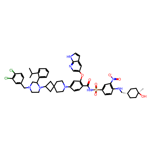 CC(C)c1ccccc1C1CN(Cc2ccc(Cl)c(Cl)c2)CCN1C1CC2(CCN(c3ccc(C(=O)NS(=O)(=O)c4ccc(NC[C@H]5CC[C@](C)(O)CC5)c([N+](=O)[O-])c4)c(Oc4cnc5[nH]ccc5c4)c3)CC2)C1